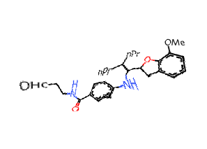 CCCC(CCC)C(Nc1ccc(C(=O)NCCC=O)cc1)C1Cc2cccc(OC)c2O1